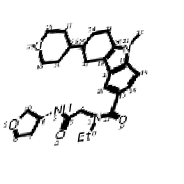 CCN(CC(=O)N[C@@H]1CCOC1)C(=O)c1ccc2c(c1)c1c(n2C)CCC(C2CCOCC2)C1